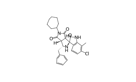 Cc1c(Cl)ccc2c1NC(=O)[C@]21N[C@H](Cc2ccccc2)[C@@H]2C(=O)N(C3CCCCCC3)C(=O)[C@@H]21